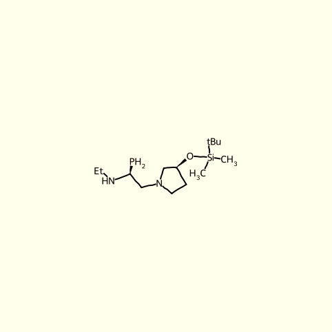 CCN[C@@H](P)CN1CC[C@H](O[Si](C)(C)C(C)(C)C)C1